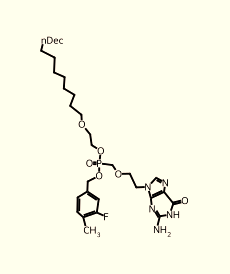 CCCCCCCCCCCCCCCCCCOCCOP(=O)(COCCn1cnc2c(=O)[nH]c(N)nc21)OCc1ccc(C)c(F)c1